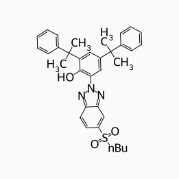 CCCCS(=O)(=O)c1ccc2nn(-c3cc(C(C)(C)c4ccccc4)cc(C(C)(C)c4ccccc4)c3O)nc2c1